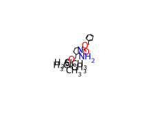 CC(C)(C)[Si](C)(C)OCC1CCCN(C(=O)OCc2ccccc2)C1N